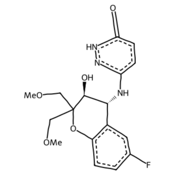 COCC1(COC)Oc2ccc(F)cc2[C@@H](Nc2ccc(=O)[nH]n2)[C@@H]1O